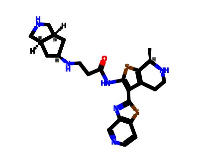 C[C@H]1NCCc2c1sc(NC(=O)CCN[C@H]1C[C@H]3CNC[C@H]3C1)c2-c1nc2cnccc2s1